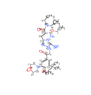 CCOc1nn2c(=N)n(CC(=O)c3cc(N4CCOCC4)c(OC)c(C(C)(C)C)c3)nc2cc1C(=O)N(CC)CC